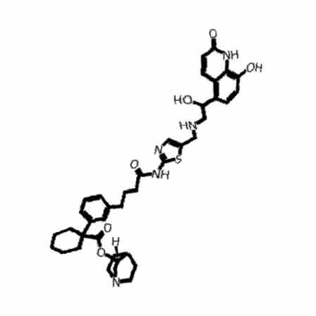 O=C(CCCc1cccc(C2(C(=O)O[C@H]3CN4CCC3CC4)CCCCC2)c1)Nc1ncc(CNCC(O)c2ccc(O)c3[nH]c(=O)ccc23)s1